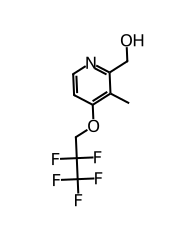 Cc1c(OCC(F)(F)C(F)(F)F)ccnc1CO